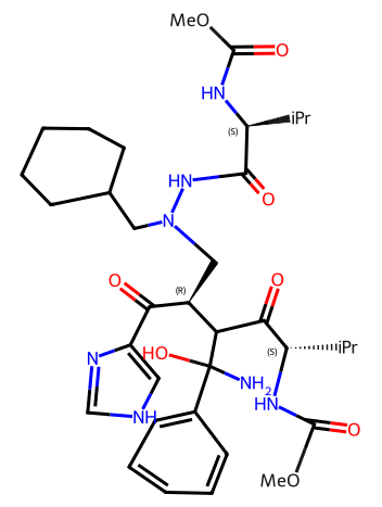 COC(=O)N[C@H](C(=O)NN(CC1CCCCC1)C[C@H](C(=O)c1c[nH]cn1)C(C(=O)[C@@H](NC(=O)OC)C(C)C)C(N)(O)c1ccccc1)C(C)C